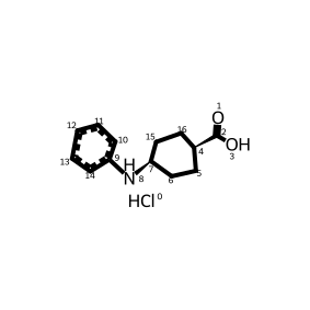 Cl.O=C(O)[C@H]1CC[C@@H](Nc2ccccc2)CC1